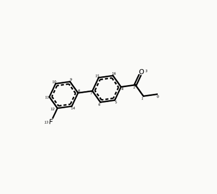 CCC(=O)c1ccc(-c2cccc(F)c2)cc1